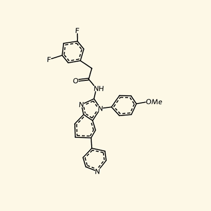 COc1ccc(-n2c(NC(=O)Cc3cc(F)cc(F)c3)nc3ccc(-c4ccncc4)cc32)cc1